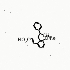 COc1cccc(C=CC(=O)O)c1CC(C)c1ccccc1